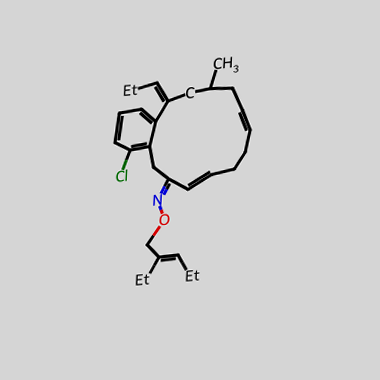 CCC=C(CC)CO/N=C1\C=C\CC/C=C/CC(C)C/C(=C/CC)c2cccc(Cl)c2C1